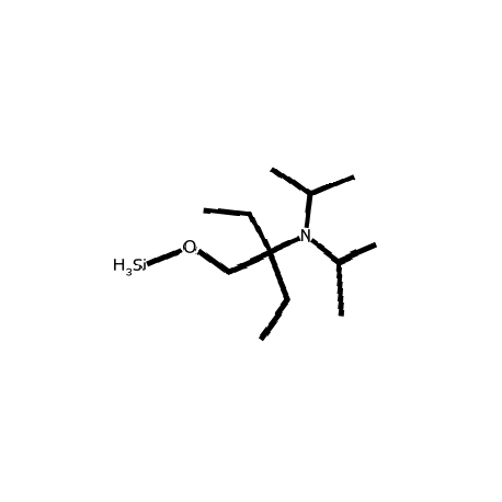 CCC(CC)(CO[SiH3])N(C(C)C)C(C)C